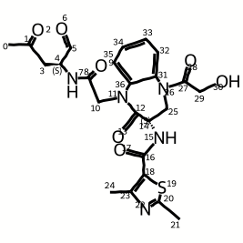 CC(=O)C[C@@H](C=O)NC(=O)CN1C(=O)[C@@H](NC(=O)c2sc(C)nc2C)CN(C(=O)CO)c2ccccc21